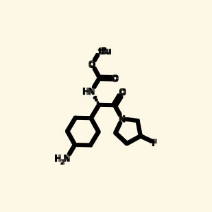 CC(C)(C)OC(=O)N[C@H](C(=O)N1CCC(F)C1)C1CCC(N)CC1